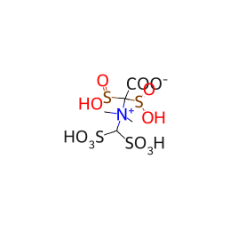 C[N+](C)(C(S(=O)(=O)O)S(=O)(=O)O)C(C(=O)[O-])(S(=O)O)S(=O)O